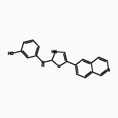 Oc1cccc(NC2NC=C(c3ccc4cnccc4c3)O2)c1